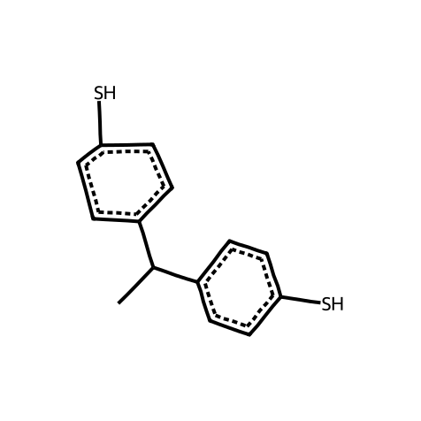 CC(c1ccc(S)cc1)c1ccc(S)cc1